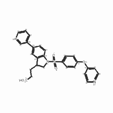 O=C(O)CCC1CN(S(=O)(=O)c2ccc(Oc3ccncc3)cc2)c2ccc(-c3cccnc3)cc21